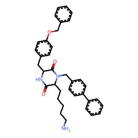 NCCCCCC1C(=O)NC(Cc2ccc(OCc3ccccc3)cc2)C(=O)N1Cc1ccc(-c2ccccc2)cc1